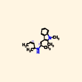 C=C(/C=C\C)N/C(C)=C/c1c(C)n(C)c2ccccc12